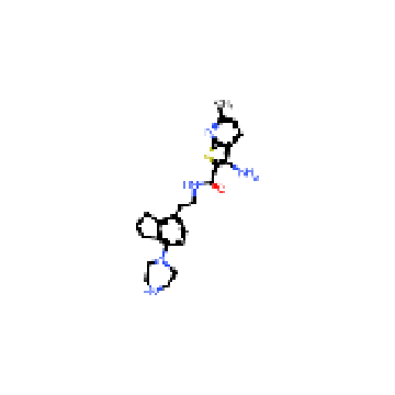 Cc1ccc2c(N)c(C(=O)NCCc3ccc(N4CCNCC4)c4c3CCC4)sc2n1